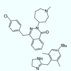 CN1CCCC(n2nc(Cc3ccc(Cl)cc3)c3ccccc3c2=O)CC1.Cc1cc(C(C)(C)C)cc(C)c1CC1=NCCN1